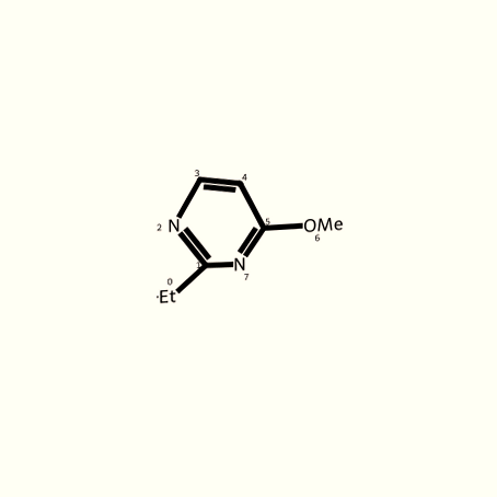 C[CH]c1nccc(OC)n1